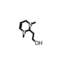 CN1C=CCN(C)C1CCO